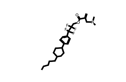 C=C(CN(C)C)C(=O)OCC(F)(F)C(F)(F)c1ccc(C2CCC(CCCCC)CC2)cc1